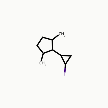 CC1CCC(C)C1C1CC1I